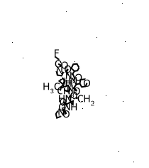 C=C[C@@H]1C[C@]1(NC(=O)[C@@H]1C[C@@]2(CN1C(=O)[C@@H](NC(=O)C(NC(=O)[C@@H]1CCCN1C(=O)OCCF)C1CCCCC1)C1CCOCC1)C(C)(C)C21CCC1)C(=O)NS(=O)(=O)N1CCCC1